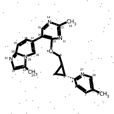 Cc1ccc([C@@H]2CC2COc2nc(C)ncc2-c2ccc3ncc(C)n3c2)nc1